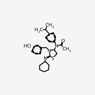 CC(=O)N(c1ccc(C(C)C)cc1)C1CSC(=NC2CCCCC2)N1Cc1ccccc1.Cl